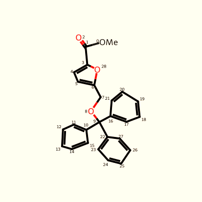 COC(=O)c1ccc(COC(c2ccccc2)(c2ccccc2)c2ccccc2)o1